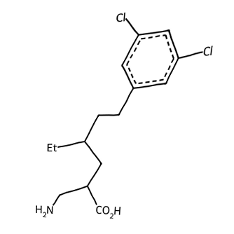 CCC(CCc1cc(Cl)cc(Cl)c1)CC(CN)C(=O)O